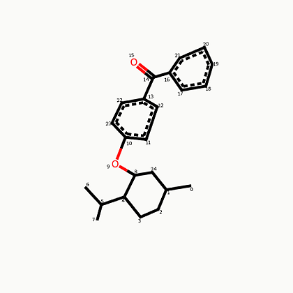 CC1CCC(C(C)C)C(Oc2ccc(C(=O)c3ccccc3)cc2)C1